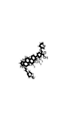 CC1(C)C(C2=CCC(COc3cccnc3)(C(=O)O)CC2)=CC[C@@]2(C)C1CC[C@@]1(C)C3CC[C@@]4(NCCN5CC[S+]([O-])CC5)CCC[C@@H]4[C@H]3CCC12